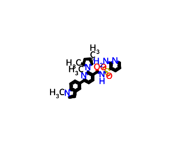 C[C@H]1CN(c2nc(-c3ccc4c(ccn4C)c3)ccc2C(=O)NS(=O)(=O)c2cccnc2N)C(C)(C)C1